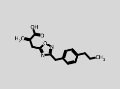 C=C(Cc1nc(Cc2ccc(CCC)cc2)no1)C(=O)O